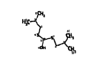 CC(C)CSP(O)SCC(C)C